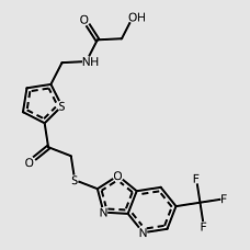 O=C(CO)NCc1ccc(C(=O)CSc2nc3ncc(C(F)(F)F)cc3o2)s1